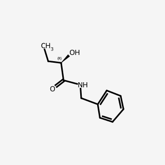 CC[C@@H](O)C(=O)NCc1ccccc1